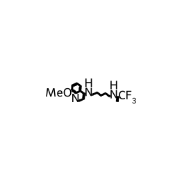 C=C(NCCCCCNc1ccnc2c(OC)cccc12)C(F)(F)F